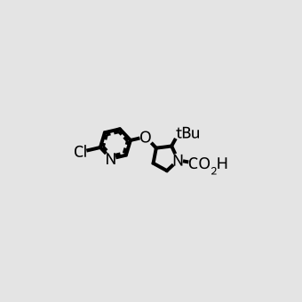 CC(C)(C)C1C(Oc2ccc(Cl)nc2)CCN1C(=O)O